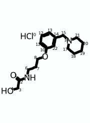 Cl.O=C(CO)NCCCOc1cccc(CN2CCCCC2)c1